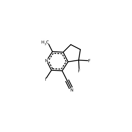 Cc1nc(I)c(C#N)c2c1CCC2(F)F